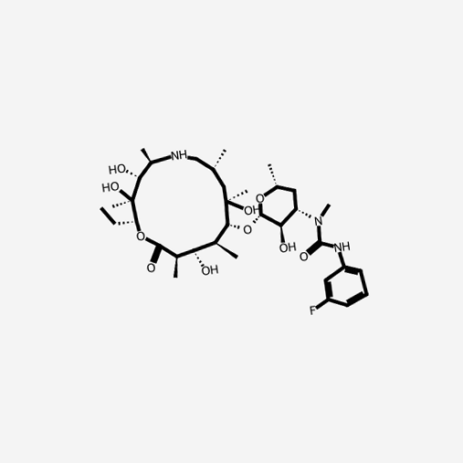 CC[C@H]1OC(=O)[C@H](C)[C@@H](O)[C@H](C)[C@@H](O[C@@H]2O[C@H](C)C[C@H](N(C)C(=O)Nc3cccc(F)c3)[C@H]2O)[C@](C)(O)C[C@@H](C)CN[C@H](C)[C@@H](O)[C@]1(C)O